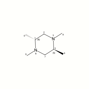 C[C@@H]1CN(C)[C@@H](C)CN1C